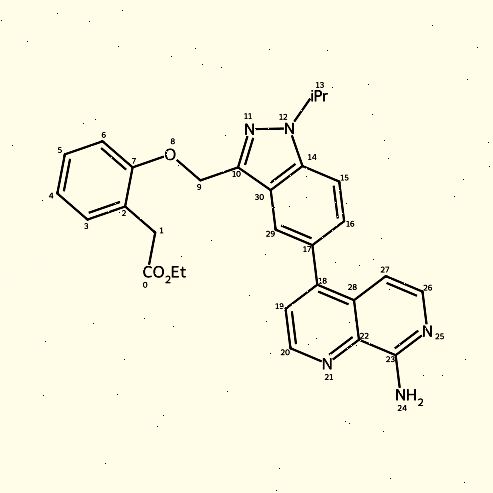 CCOC(=O)Cc1ccccc1OCc1nn(C(C)C)c2ccc(-c3ccnc4c(N)nccc34)cc12